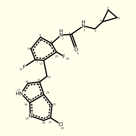 O=C(NCC1CC1)Nc1ccc(F)c(Cc2c[nH]c3ncc(Cl)cc23)c1F